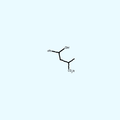 CCCC(O)CC(C)C(=O)O